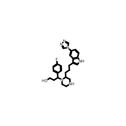 OCCC(c1ccc(F)cc1)N1CCNCC1CCCc1c[nH]c2ccc(-n3cnnc3)cc12